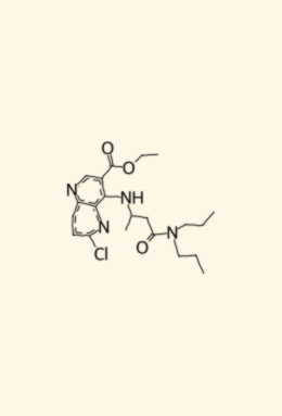 CCCN(CCC)C(=O)CC(C)Nc1c(C(=O)OCC)cnc2ccc(Cl)nc12